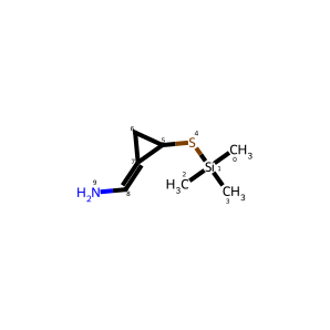 C[Si](C)(C)SC1CC1=CN